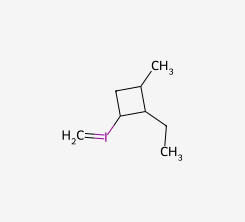 C=IC1CC(C)C1CC